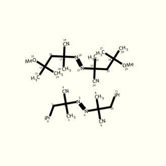 CC(C)CC(C)(C#N)/N=N/C(C)(C#N)CC(C)C.COC(C)(C)CC(C)(C#N)/N=N/C(C)(C#N)CC(C)(C)OC